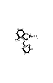 NC(=O)O[C@@H](CN1N=CCN=N1)c1ccccc1Cl